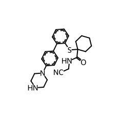 N#CCNC(=O)C1(Sc2ccccc2-c2ccc(N3CCNCC3)cc2)CCCCC1